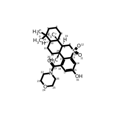 CC1(C)CCC[C@]2(C)[C@H]3CS(=O)(=O)c4cc(O)cc(C(=O)N5CCOCC5)c4[C@]3(C)CC[C@@H]12